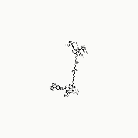 CCn1c(-c2nonc2N)nc2c(C#CC(C)(C)O)ncc(OCCCNCCCC(=O)NCCCCCCCC(=O)N[C@H](C(=O)N3C[C@H](O)C[C@H]3C(=O)NCc3ccc(-c4scnc4C)cc3)C(C)(C)C)c21